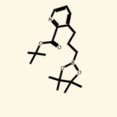 CC(C)(C)OC(=O)c1ncccc1CCCB1OC(C)(C)C(C)(C)O1